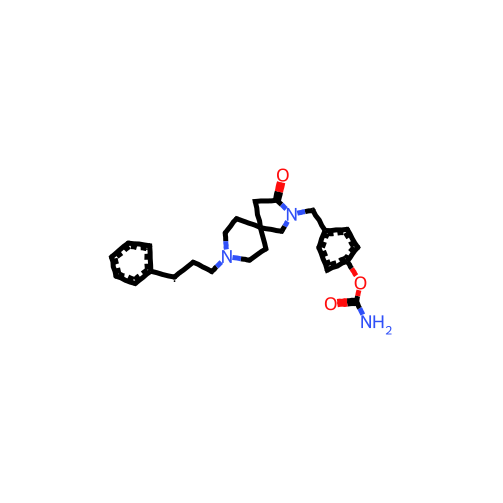 NC(=O)Oc1ccc(CN2CC3(CCN(CC[CH]c4ccccc4)CC3)CC2=O)cc1